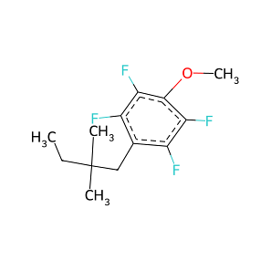 CCC(C)(C)Cc1c(F)c(F)c(OC)c(F)c1F